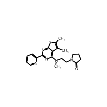 Cc1sc2nc(-c3ccccn3)nc(N(C)CCN3CCCC3=O)c2c1C